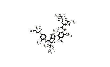 CCN(CCO)c1ccc(/N=C2/C(C(C)(C)C)=Nn3c2nnc3-c2c(C)cc(C)c(NC(=O)C(CCS(C)(=O)=O)NC(C)=O)c2C)c(C)c1